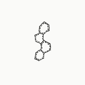 [c]1cccc2c1[c]cc1c3ccccc3ccc21